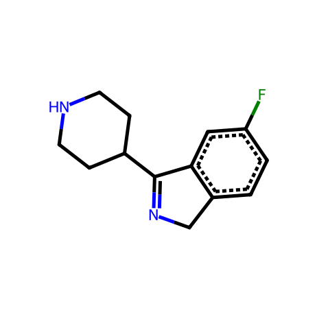 Fc1ccc2c(c1)C(C1CCNCC1)=NC2